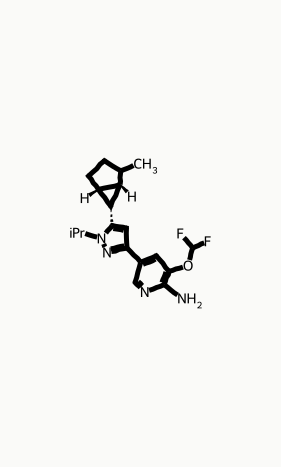 CC1CC[C@H]2[C@@H](c3cc(-c4cnc(N)c(OC(F)F)c4)nn3C(C)C)[C@@H]12